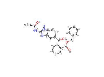 COC(=O)Nc1nc2cc(C(=O)c3ccccc3C(=O)OCc3ccccc3)ccc2[nH]1